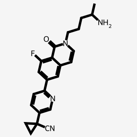 CC(N)CCCn1ccc2cc(-c3ccc(C4(C#N)CC4)cn3)cc(F)c2c1=O